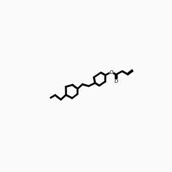 C=CCC(=O)OC1CCC(CCC2CCC(CCC)CC2)CC1